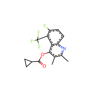 Cc1nc2ccc(F)c(C(F)(F)F)c2c(OC(=O)C2CC2)c1C